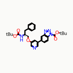 CC(C)(C)OC(=O)N[C@H](COc1cncc(-c2ccc3c(c2)nnn3C(=O)OC(C)(C)C)c1)Cc1ccccc1